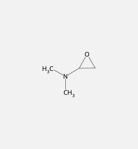 CN(C)C1CO1